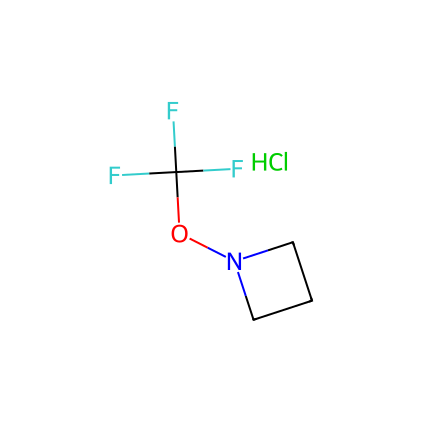 Cl.FC(F)(F)ON1CCC1